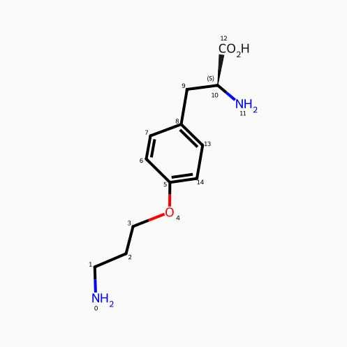 NCCCOc1ccc(C[C@H](N)C(=O)O)cc1